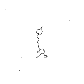 C=Cc1nc(CCCCCN2CCN(C)CC2)ccc1O